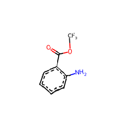 Nc1ccccc1C(=O)OC(F)(F)F